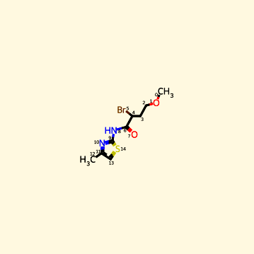 COCCC(Br)C(=O)Nc1nc(C)cs1